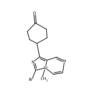 C[N+]12C=CN=CC1=C(C1CCC(=O)CC1)N=C2Br